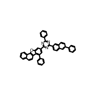 c1ccc(-c2ccc3cc(-c4nc(-c5ccccc5)nc(-c5cc(-c6ccccc6)c6c(c5)oc5c7ccccc7ccc56)n4)ccc3c2)cc1